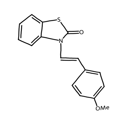 COc1ccc(/C=C/n2c(=O)sc3ccccc32)cc1